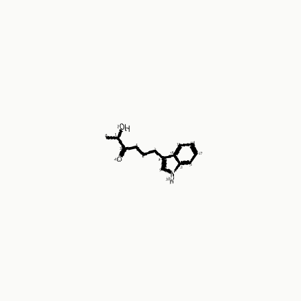 CC(O)C(=O)CCCc1c[nH]c2ccccc12